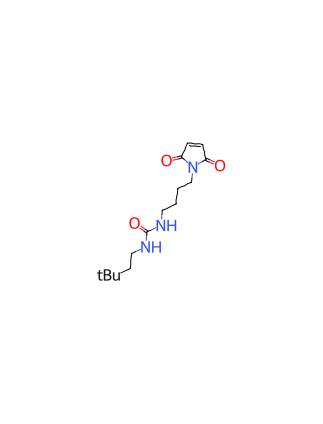 CC(C)(C)CCNC(=O)NCCCCN1C(=O)C=CC1=O